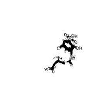 N[C@@H](CSC(=O)Nc1cc(Cl)cc(S(=O)(=O)O)c1O)C(=O)O